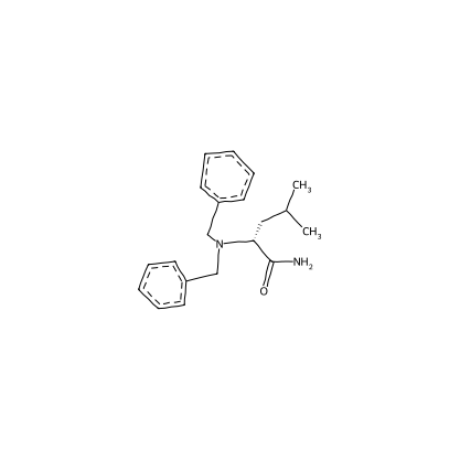 CC(C)C[C@H](C(N)=O)N(Cc1ccccc1)Cc1ccccc1